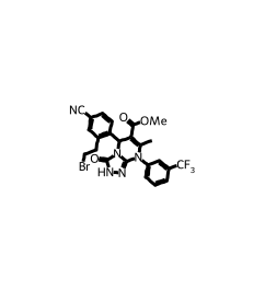 COC(=O)C1=C(C)N(c2cccc(C(F)(F)F)c2)c2n[nH]c(=O)n2C1c1ccc(C#N)cc1CCBr